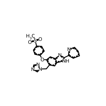 CS(=O)(=O)c1ccc(Oc2cc3nc(-c4ccccn4)[nH]c3cc2Cn2cncn2)cc1